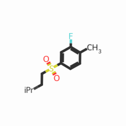 Cc1ccc(S(=O)(=O)CCC(C)C)cc1F